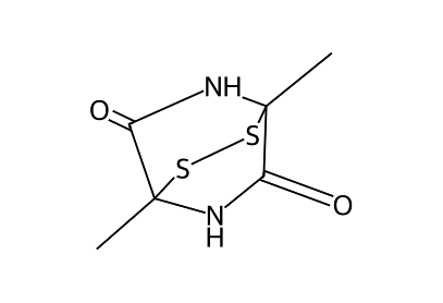 CC12NC(=O)C(C)(NC1=O)SS2